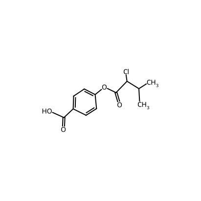 CC(C)C(Cl)C(=O)Oc1ccc(C(=O)O)cc1